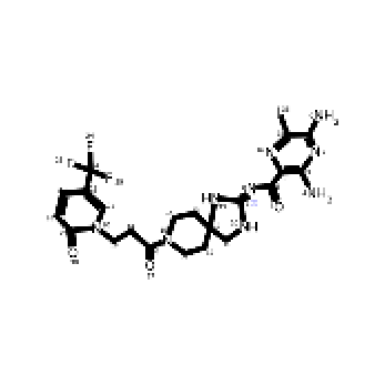 Nc1nc(N)c(C(=O)/N=C2\NCC3(CCN(C(=O)CCn4cc(C(F)(F)F)ccc4=O)CC3)N2)nc1I